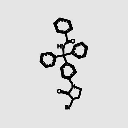 O=C(NC(c1ccccc1)(c1ccccc1)c1ccc(N2CCC(Br)C2=O)cc1)c1ccccc1